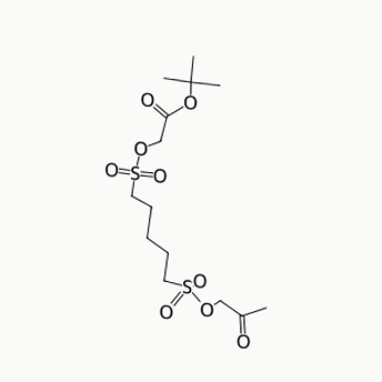 CC(=O)COS(=O)(=O)CCCCCS(=O)(=O)OCC(=O)OC(C)(C)C